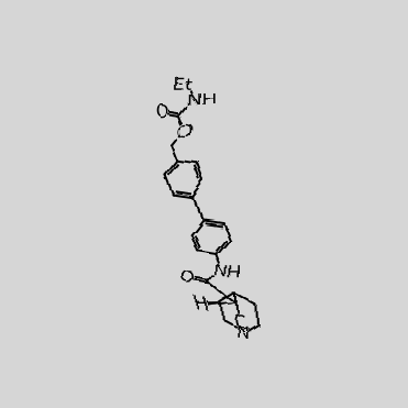 CCNC(=O)OCc1ccc(-c2ccc(NC(=O)[C@H]3CN4CCC3CC4)cc2)cc1